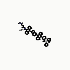 C=C(/C=C(\CCC)c1c2c(c(C3=CC4=C(C=C(c5c6c(c(C7=CC(C(=C)N(C8=C(C)C=CCC8)c8ccccc8)=CCC7)c7ccccc57)=CCCC=6)CC4)CC3)c3ccccc13)=CCCC=2)CC/C(C)=C\C